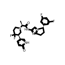 C[C@@H](C(=O)Nc1cn2c(n1)CC[C@H]2c1cc(F)cc(F)c1)N1CCC(F)(F)[C@H](c2ccc(=O)[nH]c2)C1